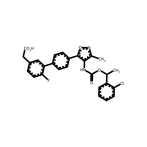 Cc1noc(-c2ccc(-c3cc(CC(=O)O)ccc3F)cc2)c1NC(=O)OC(C)c1ccccc1Cl